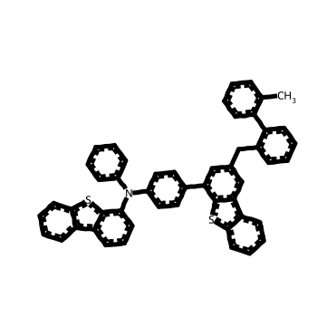 Cc1ccccc1-c1ccccc1Cc1cc(-c2ccc(N(c3ccccc3)c3cccc4c3sc3ccccc34)cc2)c2sc3ccccc3c2c1